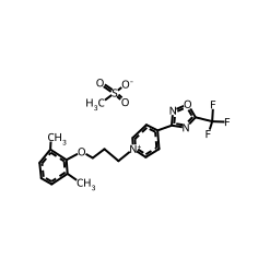 CS(=O)(=O)[O-].Cc1cccc(C)c1OCCC[n+]1ccc(-c2noc(C(F)(F)F)n2)cc1